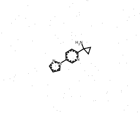 NC1(c2ccc(-n3cccn3)cn2)CC1